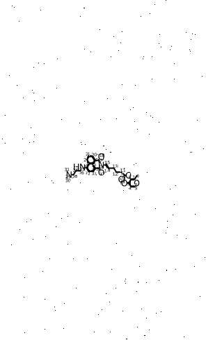 Cc1occc(=O)c1OC(=O)CCCCCN1C(=O)c2cccc3c(NCCCN(C)C)ccc(c23)C1=O